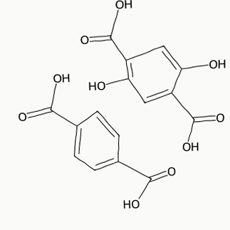 O=C(O)c1cc(O)c(C(=O)O)cc1O.O=C(O)c1ccc(C(=O)O)cc1